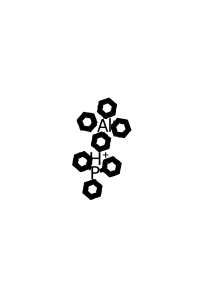 c1cc[c]([Al-]([c]2ccccc2)([c]2ccccc2)[c]2ccccc2)cc1.c1ccc([PH+](c2ccccc2)c2ccccc2)cc1